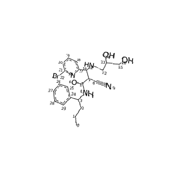 CCCC(NC(=O)C(C#N)C(NCC(O)CO)c1cccc(Br)n1)c1ccccc1